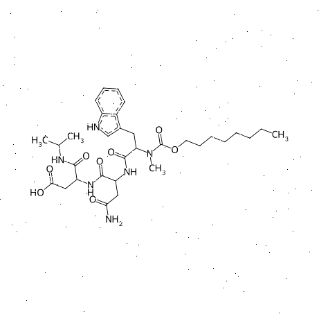 CCCCCCCCOC(=O)N(C)C(Cc1c[nH]c2ccccc12)C(=O)NC(CC(N)=O)C(=O)NC(CC(=O)O)C(=O)NC(C)C